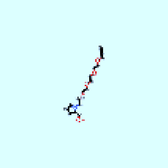 C#CCOCCOCCOCCOCCN1CCC[C@H]1CO